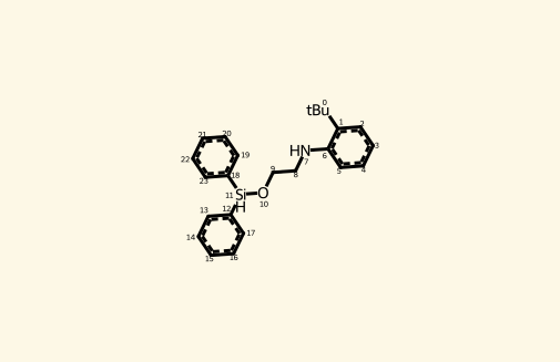 CC(C)(C)c1ccccc1NCCO[SiH](c1ccccc1)c1ccccc1